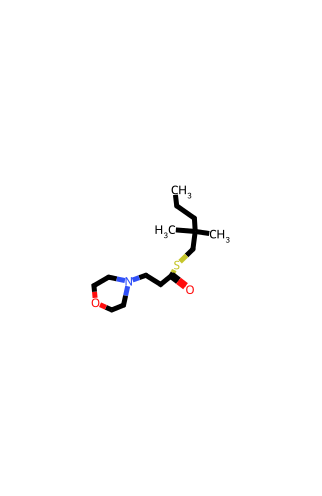 CCCC(C)(C)CSC(=O)CCN1CCOCC1